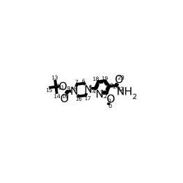 COc1nc(N2CCN(C(=O)OC(C)(C)C)CC2)ccc1C(N)=O